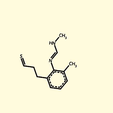 CNC=Nc1c(C)cccc1CCC=S